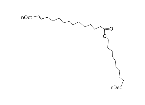 CCCCCCCCC=CCCCCCCCCCCCC(=O)OCCCCCCCCCCCCCCCCCCC